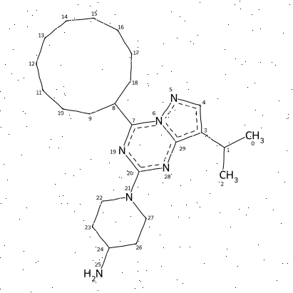 CC(C)c1cnn2c(C3CCCCCCCCCC3)nc(N3CCC(N)CC3)nc12